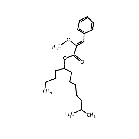 CCCCC(CCCCCC(C)C)OC(=O)C(=Cc1ccccc1)OC